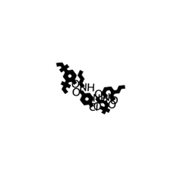 CCCC(NC(=O)c1ccc(Cl)c(NC(=O)C(C(=O)C(C)(C)C)N2C(=O)CCC(CCC)C2=O)c1)Oc1ccc(C(C)(C)CC)cc1C(C)(C)CC